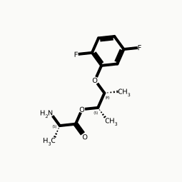 C[C@H](N)C(=O)O[C@@H](C)[C@@H](C)Oc1cc(F)ccc1F